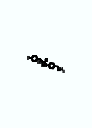 NCc1ccc(NC(=O)NCc2ccc(F)cc2)cc1